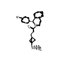 CNC12CC(CCC(=O)N3CCc4ccccc4[C@@H]3c3ccc(F)cc3)(C1)C2